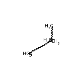 CCCCCCCCCCCC[N+](C)(C)CCCCCCCCCCCCCCCCCCCCC(=O)O